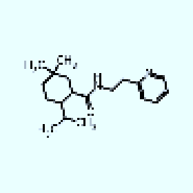 CC(C)C1CCC(C)(C)CC1C(=O)NCCc1ccccn1